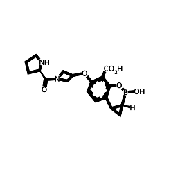 O=C(O)c1c(OC2CN(C(=O)[C@H]3CCCN3)C2)ccc2c1OB(O)[C@@H]1CC21